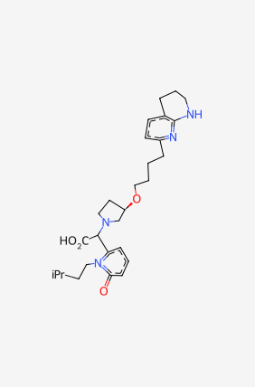 CC(C)CCn1c(C(C(=O)O)N2CC[C@@H](OCCCCc3ccc4c(n3)NCCC4)C2)cccc1=O